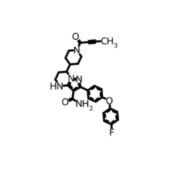 CC#CC(=O)N1CCC(C2CCNc3c(C(N)=O)c(-c4ccc(Oc5ccc(F)cc5)cc4)nn32)CC1